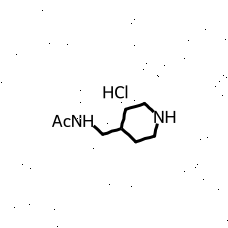 CC(=O)NCC1CCNCC1.Cl